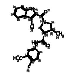 Cc1cc(NC(=O)[C@@H]2CN(C(=O)c3[nH]c4ccccc4c3Cl)C[C@H]2C)ccc1F